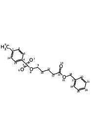 Cc1ccc(S(=O)(=O)OCCCCC(=O)OCc2ccccc2)cc1